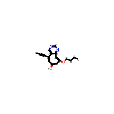 CC#C/C1=C/C(=O)C/C(OCCCC)=C/c2ncncc21